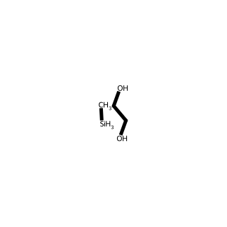 C[SiH3].OCCO